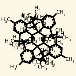 Cc1cc(C(C)(C)C)c(C2=C(O)C(c3c(C(C)(C)C)cc(C)cc3C(C)(C)C)(C(C)(C)C)C(c3c(C(C)(C)C)cc(C)cc3C(C)(C)C)=C(O)C2(c2c(C(C)(C)C)cc(C)cc2C(C)(C)C)C(C)(C)C)c(C(C)(C)C)c1